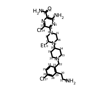 CC[C@H]1CN(c2nc(N)c(C(N)=O)nc2Cl)CCN1C1CCN(Cc2ccc(Cl)cc2CCN)CC1